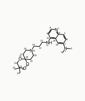 CN(C)c1ccc2nccc(NCCCN3CCC4(CC3)OCC(C)(C)OO4)c2c1